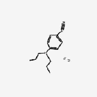 CCCN(CCC)c1ccc([N+]#N)cc1.[Cl-].[Zn]